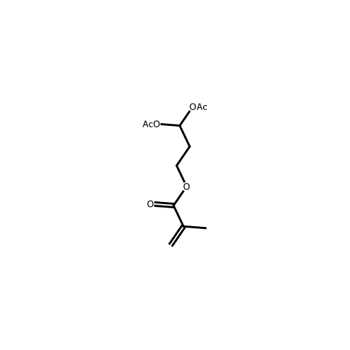 C=C(C)C(=O)OCCC(OC(C)=O)OC(C)=O